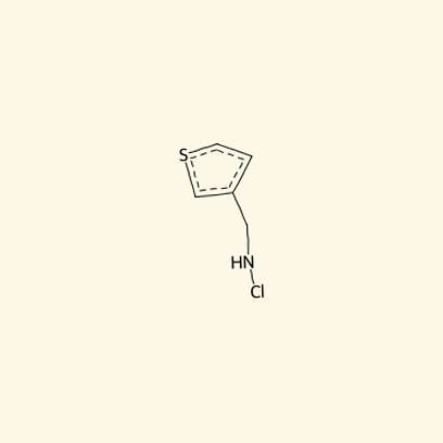 ClNCc1ccsc1